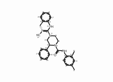 Cc1ccc(NC(=O)N2CCN(/C(=N\C#N)Nc3ccccc3C)CC2c2ccccc2)c(C)c1